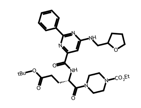 CCOC(=O)N1CCN(C(=O)[C@H](CCC(=O)OC(C)(C)C)NC(=O)c2cc(NCC3CCCO3)nc(-c3ccccc3)n2)CC1